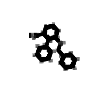 Nc1cccc(OCc2ccccc2)c1-c1ccccc1